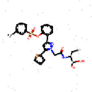 CC(C)C[C@H](NC(=O)Cn1nc(-c2ccccc2OS(=O)(=O)c2cccc(C(F)(F)F)c2)cc1-c1cccs1)B(O)O